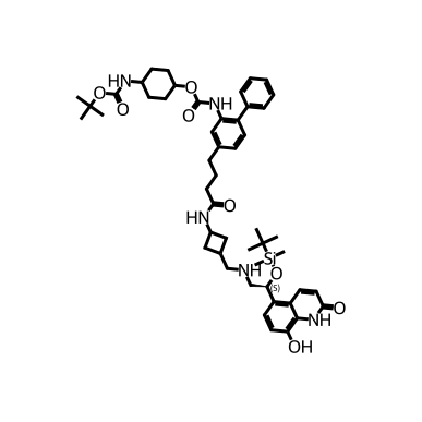 CC(C)(C)OC(=O)NC1CCC(OC(=O)Nc2cc(CCCC(=O)NC3CC(CNC[C@@H](O[Si](C)(C)C(C)(C)C)c4ccc(O)c5[nH]c(=O)ccc45)C3)ccc2-c2ccccc2)CC1